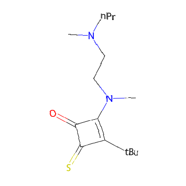 CCCN(C)CCN(C)c1c(C(C)(C)C)c(=S)c1=O